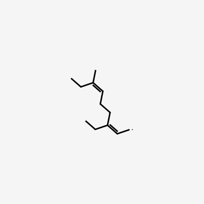 [CH2]C=C(CC)CCC=C(C)CC